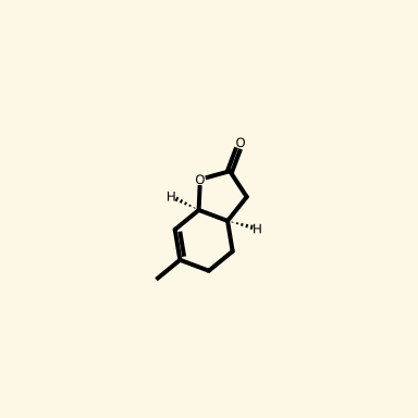 CC1=C[C@H]2OC(=O)C[C@H]2CC1